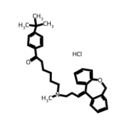 CN(CCC=C1c2ccccc2COc2ccccc21)CCCCCC(=O)c1ccc(C(C)(C)C)cc1.Cl